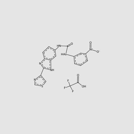 O=C(Nc1ccc2nc(-c3cscn3)[nH]c2c1)[AsH]c1cccc([N+](=O)[O-])c1.O=C(O)C(F)(F)F